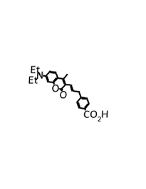 CCN(CC)c1ccc2c(C)c(/C=C/Cc3ccc(C(=O)O)cc3)c(=O)oc2c1